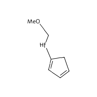 CO[CH2][Hf][C]1=CC=CC1